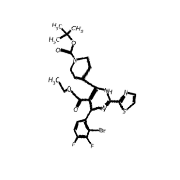 CCOC(=O)C1=C(C2CCN(C(=O)OC(C)(C)C)CC2)NC(c2nccs2)=NC1c1ccc(F)c(F)c1Br